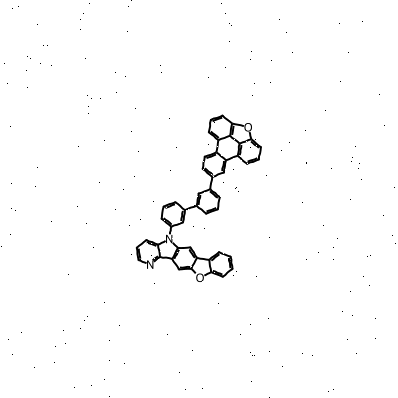 c1cc(-c2cccc(-n3c4cc5c(cc4c4ncccc43)oc3ccccc35)c2)cc(-c2ccc3c(c2)c2cccc4oc5cccc3c5c42)c1